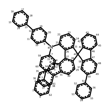 c1ccc(-c2ccc(N(c3ccc(-c4ccccc4)cc3)c3cccc4c3-c3c(ccc5c3sc3ccccc35)C43c4ccccc4-c4ccc(-c5ccccc5)cc43)cc2)cc1